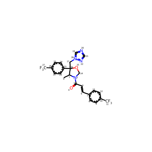 CC1N(C(=O)/C=C/c2ccc(C(F)(F)F)cc2)COC1(Cn1cncn1)c1ccc(C(F)(F)F)cc1